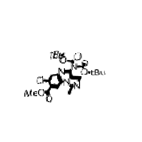 COC(=O)c1cc2c(cc1Cl)nc(N(C(=O)OC(C)(C)C)C(=O)OC(C)(C)C)c1cnc(C)n12